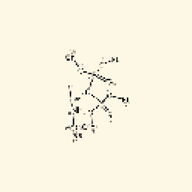 CCCC.CCOP(=S)(OCC)OP(=S)(OCC)OCC.NC(=O)[O-].[Na+]